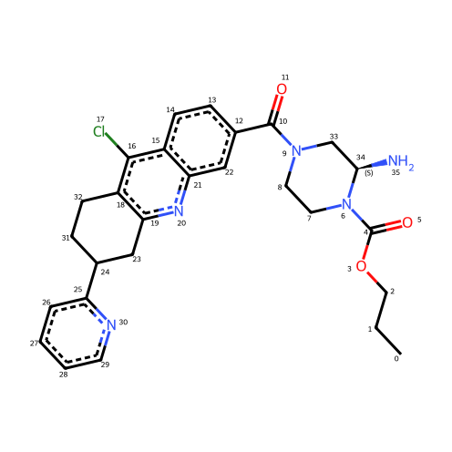 CCCOC(=O)N1CCN(C(=O)c2ccc3c(Cl)c4c(nc3c2)CC(c2ccccn2)CC4)C[C@H]1N